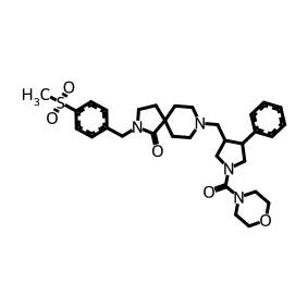 CS(=O)(=O)c1ccc(CN2CCC3(CCN(CC4CN(C(=O)N5CCOCC5)CC4c4ccccc4)CC3)C2=O)cc1